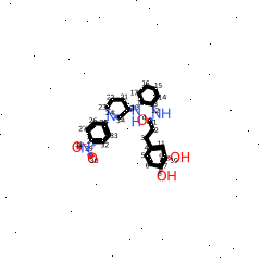 O=C(CCc1ccc(O)c(O)c1)N[C@@H]1CCCC[C@H]1NC1CCCN(c2ccc([N+](=O)[O-])cc2)C1